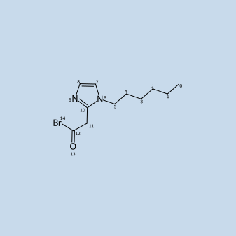 CCCCCCn1ccnc1CC(=O)Br